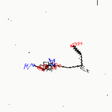 CCC(CCCCCCCCCCCCCCCCCCO)CCCCCCCCCCCCCCCOCCCOC(=O)NCCC(C)(C)OCC(C)(C)OCCCN